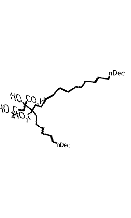 CCCCCCCCCCCCCCCCCCCCCCC(CCCCCCCCCCCCCCCC)(C(=O)O)C(O)(CC(=O)O)C(=O)O